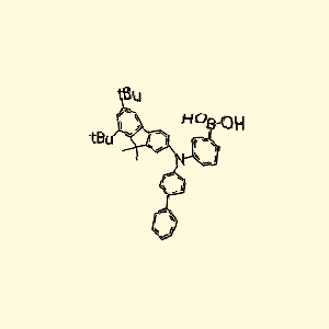 CC(C)(C)c1cc2c(c(C(C)(C)C)c1)C(C)(C)c1cc(N(c3ccc(-c4ccccc4)cc3)c3cccc(B(O)O)c3)ccc1-2